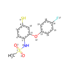 CS(=O)(=O)Nc1ccc(S)cc1Oc1ccc(F)cc1